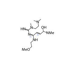 CNC(O)/C=C/C(=N\C(=N)N(C)CCN(C)C)NCCOC